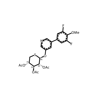 COc1c(F)cc(-c2cncc(O[C@@H]3SC[C@@H](OC(C)=O)[C@H](OC(C)=O)[C@H]3OC(C)=O)c2)cc1F